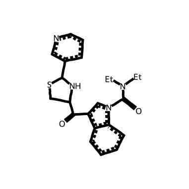 CCN(CC)C(=O)n1cc(C(=O)C2CSC(c3cccnc3)N2)c2ccccc21